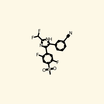 CS(=O)(=O)c1cc(F)c(-c2nc(C(F)F)[nH]c2-c2cccc(C#N)c2)cc1F